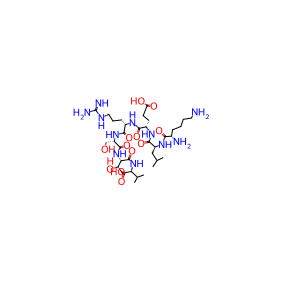 CC(C)C[C@H](NC(=O)[C@@H](N)CCCCN)C(=O)N[C@@H](CCC(=O)O)C(=O)N[C@@H](CCCNC(=N)N)C(=O)N[C@@H](CO)C(=O)N[C@H](C(=O)N[C@H](C(=O)O)C(C)C)[C@@H](C)O